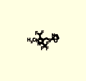 Cn1nc(C(F)(F)F)c(CSc2ncco2)c1C(F)F